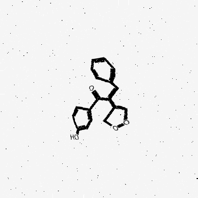 O=C(C(=Cc1ccccc1)C1COOC1)c1ccc(O)cc1